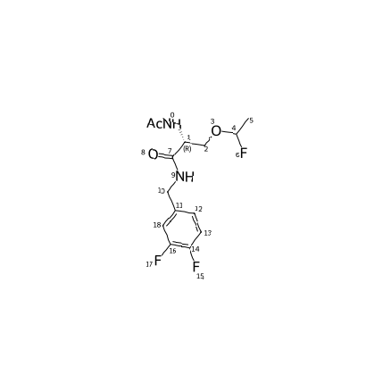 CC(=O)N[C@H](COC(C)F)C(=O)NCc1ccc(F)c(F)c1